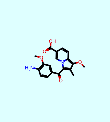 COc1cc(C(=O)c2c(C)c(OC)c3ccc(C(=O)O)cn23)ccc1N